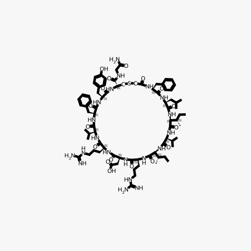 CC[C@H](C)[C@@H]1NC(=O)[C@H](CC(C)C)NC(=O)[C@H](Cc2ccccc2)NC(=O)CSC[C@@H](C(=O)NCC(N)=O)NC(=O)[C@H](Cc2ccc(O)cc2)NC(=O)[C@H](Cc2ccccc2)NC(=O)[C@H](C(C)C)NC(=O)[C@H](CCCNC(=N)N)NC(=O)[C@H](CC(=O)O)NC(=O)[C@H](CCCNC(=N)N)NC(=O)[C@H]([C@@H](C)CC)NC(=O)[C@H](C(C)C)NC1=O